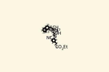 CCOC(=O)CCc1ccc(C#N)c(OCC(O)CNC(C)(C)Cc2ccc3ccccc3c2)c1.Cl